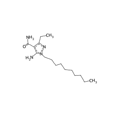 CCCCCCCCCCn1nc(CC)c(C(N)=O)c1N